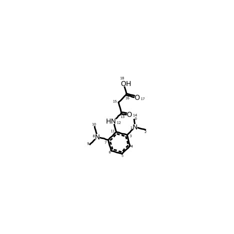 CN(C)c1cccc(N(C)C)c1NC(=O)CC(=O)O